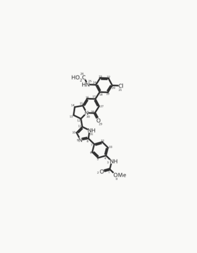 COC(=O)Nc1ccc(-c2ncc(C3CCc4cc(-c5cc(Cl)ccc5NC(=O)O)cc(=O)n43)[nH]2)cc1